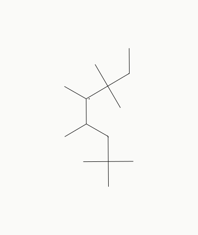 CCC(C)(C)[C](C)C(C)CC(C)(C)C